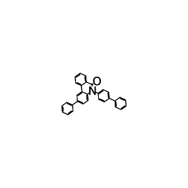 O=c1c2ccccc2c2cc(-c3ccccc3)ccc2n1-c1ccc(-c2ccccc2)cc1